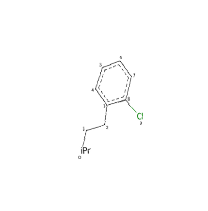 CC(C)[CH]Cc1ccccc1Cl